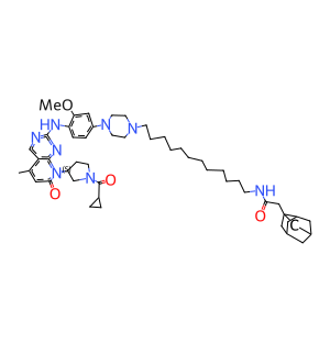 COc1cc(N2CCN(CCCCCCCCCCCCNC(=O)CC34CC5CC(CC3C5)C4)CC2)ccc1Nc1ncc2c(C)cc(=O)n([C@H]3CCN(C(=O)C4CC4)C3)c2n1